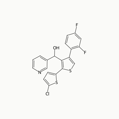 OC(c1cccnc1)c1c(-c2ccc(F)cc2F)csc1-c1ccc(Cl)s1